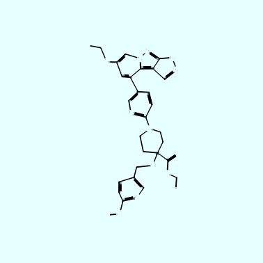 CCOC(=O)C1(NCc2ccc(OC)nc2)CCN(c2ccc(-c3cc(OCC)cn4nc5[nH]ncc5c34)cn2)CC1